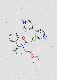 CCOCCN(C(=O)CCl)C(=C(C)C)c1ccccc1.C[n+]1ccc(-c2cc[n+](C)cc2)cc1